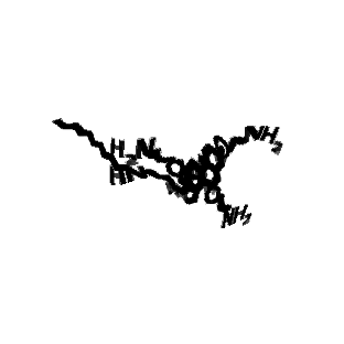 CCCCCCCCCCCNCCC[C@@H](C)[C@H]1CCC2C3[C@H](OCCCN)CC4C[C@H](OCCCN)CCC4(C)[C@H]3C[C@H](OCCCN)C21C